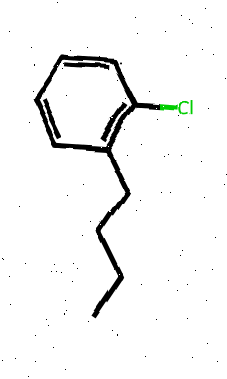 CCCCc1ccc[c]c1Cl